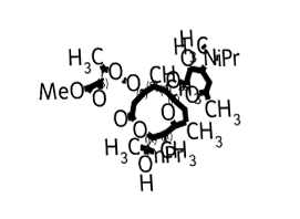 CCCC(C)(O)[C@@H]1OC(=O)C[C@H](OCOC(C)[C@@H]2OC2OC)[C@H](C)[C@H](O[C@@H]2OC(C)CC(N(C)C(C)C)C2O)[C@@]2(C)CC(C)C(O2)[C@H]1C